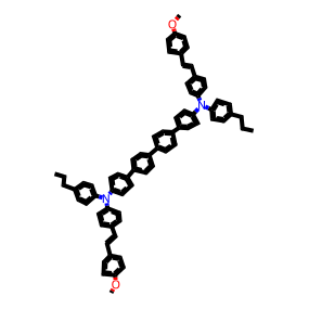 CCCc1ccc(N(c2ccc(/C=C/c3ccc(OC)cc3)cc2)c2ccc(-c3ccc(-c4ccc(-c5ccc(N(c6ccc(/C=C/c7ccc(OC)cc7)cc6)c6ccc(CCC)cc6)cc5)cc4)cc3)cc2)cc1